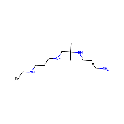 CC(C)CNCCCNCC(C)(C)NCCCN